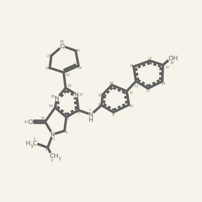 CC(C)N1Cc2c(Nc3ccc(-c4ccc(O)cc4)cc3)nc(C3=CCOCC3)nc2C1=O